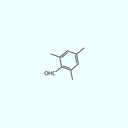 Cc1cc(C)c([C]=O)c(C)c1